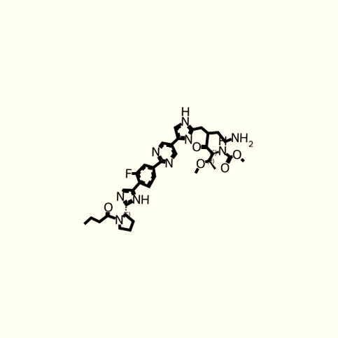 CCCC(=O)N1CCC[C@H]1c1ncc(-c2ccc(-c3ncc(-c4c[nH]c(CC(CCN)C(=O)[C@@H](NC(=O)OC)[C@@H](C)OC)n4)cn3)cc2F)[nH]1